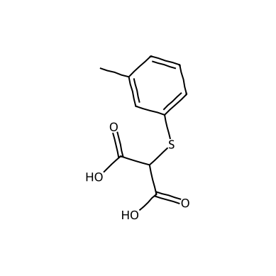 Cc1cccc(SC(C(=O)O)C(=O)O)c1